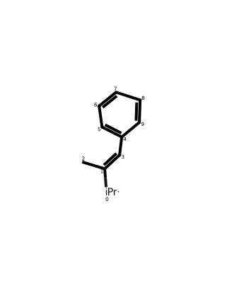 C[C](C)C(C)=Cc1ccccc1